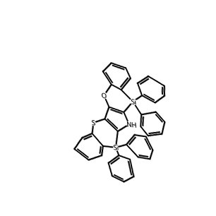 c1ccc([Si]2(c3ccccc3)c3ccccc3Oc3c2[nH]c2c3Sc3ccccc3[Si]2(c2ccccc2)c2ccccc2)cc1